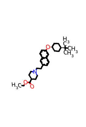 CCOC(=O)C1CCN(CCc2ccc3cc(O[C@H]4CC[C@H](C(C)(C)C)CC4)ccc3c2)CC1